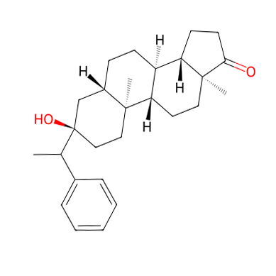 CC(c1ccccc1)[C@@]1(O)CC[C@@]2(C)[C@@H](CC[C@@H]3[C@@H]2CC[C@]2(C)C(=O)CC[C@@H]32)C1